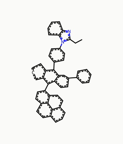 CCc1nc2ccccc2n1-c1ccc(-c2c3ccccc3c(-c3ccc4ccc5cccc6ccc3c4c56)c3ccc(-c4ccccc4)cc23)cc1